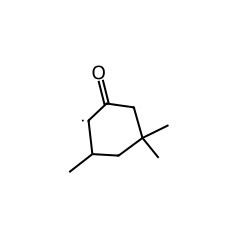 CC1[CH]C(=O)CC(C)(C)C1